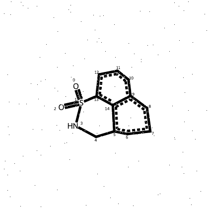 O=S1(=O)NCc2cccc3cccc1c23